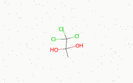 CC(O)(O)C(Cl)(Cl)Cl